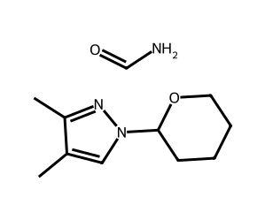 Cc1cn(C2CCCCO2)nc1C.NC=O